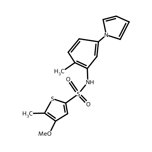 COc1cc(S(=O)(=O)Nc2cc(-n3cccc3)ccc2C)sc1C